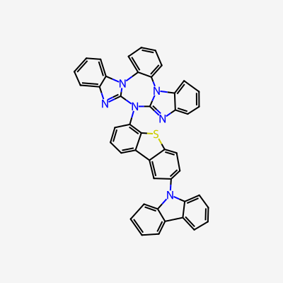 c1ccc2c(c1)nc1n(-c3cccc4c3sc3ccc(-n5c6ccccc6c6ccccc65)cc34)c3nc4ccccc4n3c3ccccc3n21